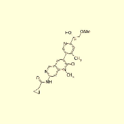 COC[C@@H](O)c1cc(C)c(-c2cc3cnc(NC(=O)C4CC4)cc3n(C)c2=O)cn1